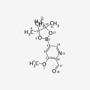 COc1cc(B2OC(C)(C)C(C)(C)O2)cnc1C=O